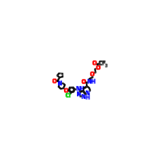 O=C(NCCOCCOC(=O)C(F)(F)F)C1=Cc2c(ncnc2Nc2ccc(OC3CCN(C(=O)C4CCCC4)CC3)c(Cl)c2)NCC1